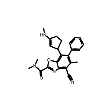 CNC1=CC(c2c(-c3ccccc3)c(C)c(C#N)c3nc(C(=O)N(C)C)oc23)CC1